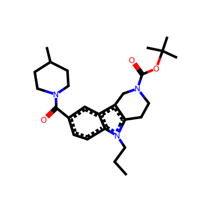 CCCn1c2c(c3cc(C(=O)N4CCC(C)CC4)ccc31)CN(C(=O)OC(C)(C)C)CC2